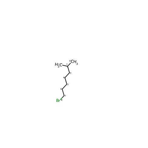 C[C](C)CCCCCBr